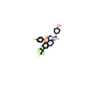 O=C([C@H]1CC[C@H](O)CC1)N1CC[C@@]2(S(=O)(=O)c3ccc(F)cc3)c3ccc(C(F)(C(F)(F)F)C(F)(F)F)cc3CC[C@@H]12